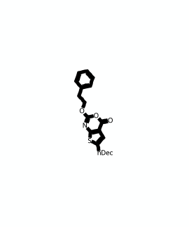 CCCCCCCCCCc1cc2c(=O)oc(OCCc3ccccc3)nc2s1